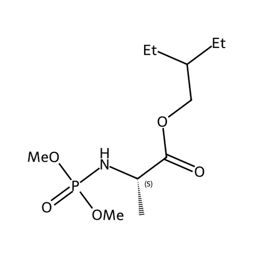 CCC(CC)COC(=O)[C@H](C)NP(=O)(OC)OC